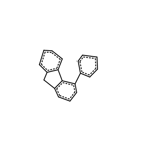 [c]1ccccc1-c1cccc2c1-c1ccccc1C2